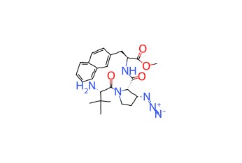 COC(=O)[C@H](Cc1ccc2ccccc2c1)NC(=O)[C@@H]1[C@H](N=[N+]=[N-])CCN1C(=O)[C@@H](N)C(C)(C)C